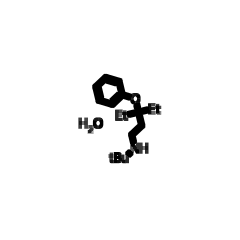 CCC(CC)(CCNC(C)(C)C)Oc1ccccc1.O